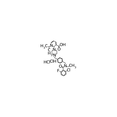 CCN(Cc1ccc(CN2CCN(C3C(C(=O)O)=CC=CN3C(C)C)CC2)cc1)C(=O)c1c(F)cccc1Cl.Cl.Cl